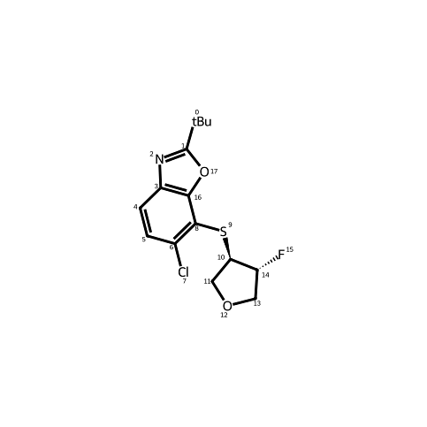 CC(C)(C)c1nc2ccc(Cl)c(S[C@@H]3COC[C@H]3F)c2o1